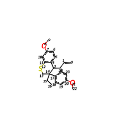 C=CCC1c2ccc(OC)cc2SCC1(CC)c1ccc(OC)cc1